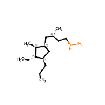 CCC[C@@H]1C[C@H](C[C@H](C)CCPP)[C@H](C)[C@H]1CC